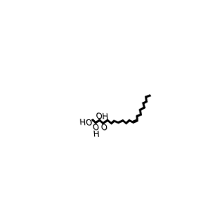 CCCCCCCC/C=C\CCCCCCCC(=O)C(O)C(O)CO